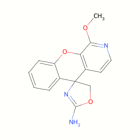 COc1nccc2c1Oc1ccccc1C21COC(N)=N1